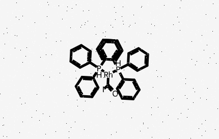 O=[C](I)[Rh]([PH](c1ccccc1)(c1ccccc1)c1ccccc1)[PH](c1ccccc1)(c1ccccc1)c1ccccc1